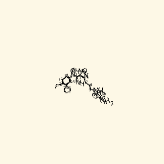 N=C(c1nonc1CCCNS(N)(=O)=O)N(O)c1ccc(F)c(Cl)c1